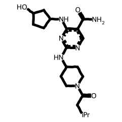 CC(C)CC(=O)N1CCC(Nc2ncc(C(N)=O)c(NC3CCC(O)C3)n2)CC1